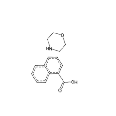 C1COCCN1.O=C(O)c1cccc2ccccc12